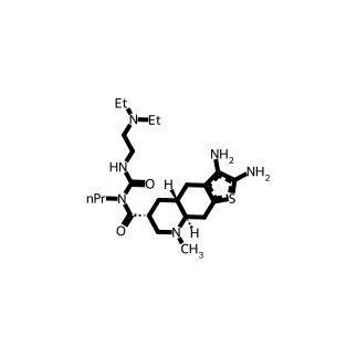 CCCN(C(=O)NCCN(CC)CC)C(=O)[C@@H]1C[C@@H]2Cc3c(sc(N)c3N)C[C@H]2N(C)C1